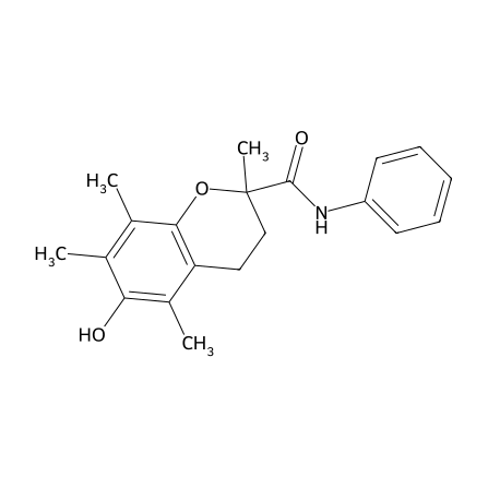 Cc1c(C)c2c(c(C)c1O)CCC(C)(C(=O)Nc1ccccc1)O2